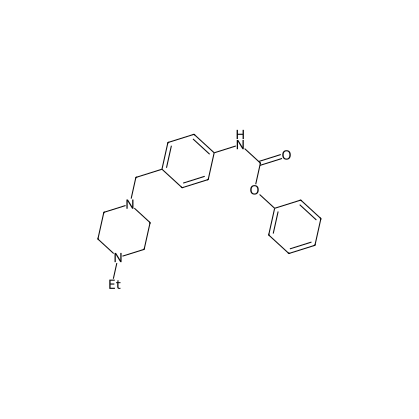 CCN1CCN(Cc2ccc(NC(=O)Oc3ccccc3)cc2)CC1